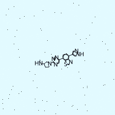 CNC1CCN(c2ncc(-c3ccc(-c4cn[nH]c4)c4ncsc34)nn2)C1